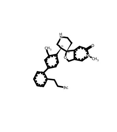 CC(=O)CCc1ccccc1-c1ccc([C@H]2CNCC[C@@]23OCc2cn(C)c(=O)cc23)c(C)c1